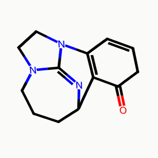 O=C1CC=CC2=C1C1CCCN3CCN2C3=N1